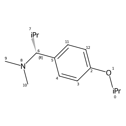 CC(C)Oc1ccc([C@@H](C(C)C)N(C)C)cc1